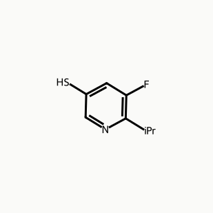 CC(C)c1ncc(S)cc1F